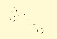 C[N+]1(Cc2cccc(Cl)c2)CCC(N2CC(c3ccccc3)(c3ccccc3)NC2=O)CC1